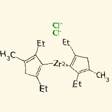 CCC1=[C]([Zr+2][C]2=C(CC)CC(C)=C2CC)C(CC)=C(C)C1.[Cl-].[Cl-]